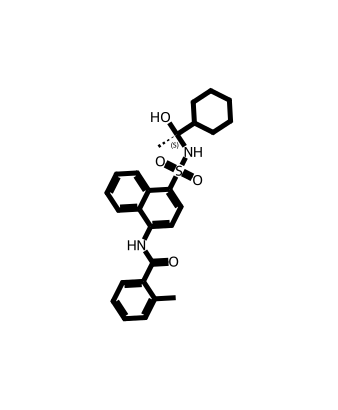 Cc1ccccc1C(=O)Nc1ccc(S(=O)(=O)N[C@@](C)(O)C2CCCCC2)c2ccccc12